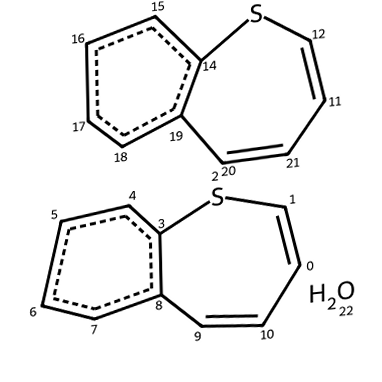 C1=CSc2ccccc2C=C1.C1=CSc2ccccc2C=C1.O